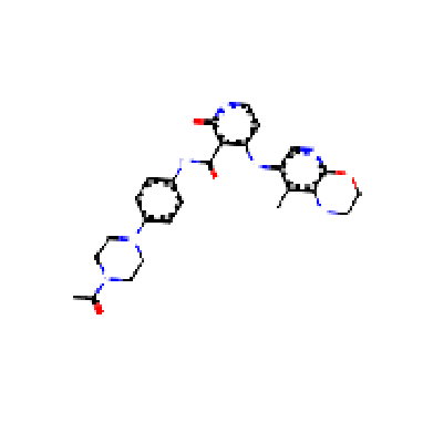 CCC(=O)N1CCN(c2ccc(NC(=O)c3c(Nc4cnc5c(c4C)NCCO5)cc[nH]c3=O)cc2)CC1